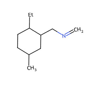 C=NCC1CC(C)CCC1CC